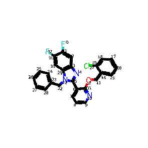 Fc1cc2nc(-c3cccnc3OCc3ccccc3Cl)n(Cc3ccccc3)c2cc1F